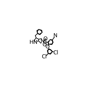 N#Cc1ccc(Oc2cc(Cl)cc(Cl)c2)c(S(=O)(=O)N2CC3NCC(Cc4ccccc4)C3C2)c1